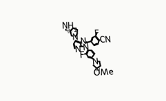 CO[C@H]1CCN(c2ccc(-n3c(-c4ccc(C#N)c(F)c4)nc4c(N5CCC[C@@H](CN)C5)ccnc43)c(F)c2)C1